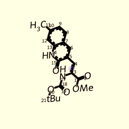 COC(=O)/C(=C/c1cc2ccc(C)cc2[nH]c1=O)NC(=O)OC(C)(C)C